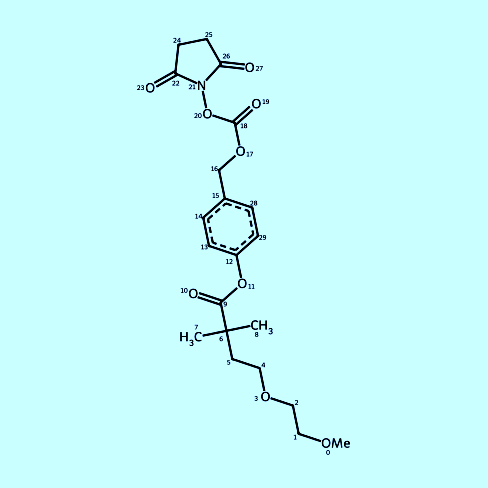 COCCOCCC(C)(C)C(=O)Oc1ccc(COC(=O)ON2C(=O)CCC2=O)cc1